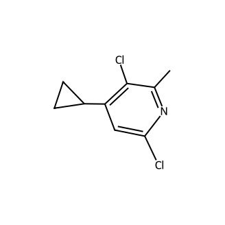 Cc1nc(Cl)cc(C2CC2)c1Cl